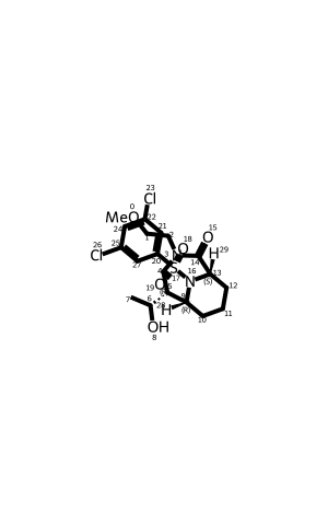 COCCN1C[C@@H](C(C)O)[C@H]2CCC[C@@H](C1=O)N2S(=O)(=O)c1cc(Cl)cc(Cl)c1